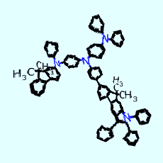 CC1(C)c2ccccc2-c2ccc(N(c3ccccc3)c3ccc(N(c4ccc(-c5ccc6c(c5)C(C)(C)c5cc7c(cc5-6)c(-c5ccccc5)c(-c5ccccc5)n7-c5ccccc5)cc4)c4ccc(N(c5ccccc5)c5ccccc5)cc4)cc3)cc21